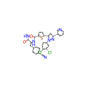 CNC(=O)[C@H](Cc1ccc(C#N)cc1)NC(=O)c1ccc(-c2cc(-c3cccnc3)nn2-c2ccc(Cl)c(Cl)c2)s1